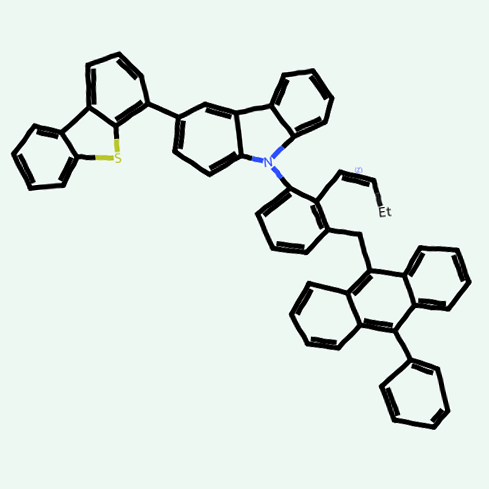 CC/C=C\c1c(Cc2c3ccccc3c(-c3ccccc3)c3ccccc23)cccc1-n1c2ccccc2c2cc(-c3cccc4c3sc3ccccc34)ccc21